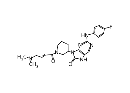 CN(C)C/C=C/C(=O)N1CCCC(n2c(=O)[nH]c3cnc(Nc4ccc(F)cc4)nc32)C1